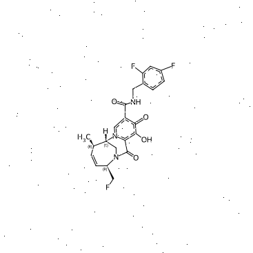 C[C@@H]1C=C[C@H](CF)N2C[C@H]1n1cc(C(=O)NCc3ccc(F)cc3F)c(=O)c(O)c1C2=O